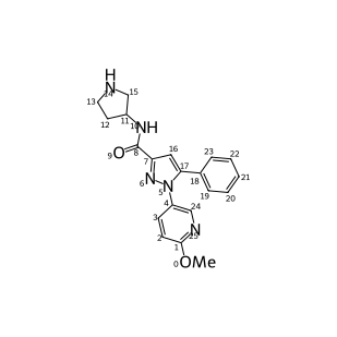 COc1ccc(-n2nc(C(=O)NC3CCNC3)cc2-c2ccccc2)cn1